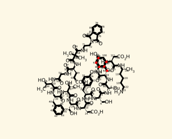 CC[C@H](C)[C@H](NC(=O)[C@H](CO)NC(=O)[C@H](Cc1ccc(O)cc1)NC(=O)[C@H](CC(=O)O)NC(=O)[C@H](CO)NC(=O)[C@@H](NC(=O)[C@H](Cc1ccccc1)NC(=O)[C@@H](NC(=O)CNC(=O)[C@H](CCC(=O)O)NC(=O)C(C)(C)C(=O)NCCN1C(=O)c2ccccc2C1=O)[C@@H](C)O)[C@@H](C)O)C(=O)N[C@@H](Cc1ccc(O)cc1)C(=O)N[C@@H](CC(C)C)C(=O)N[C@@H](CC(=O)O)C(=O)N[C@H](C)CCCCN